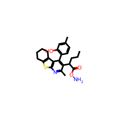 CCCC(C(=O)ON)c1c(C)nc2sc3c(c2c1-c1ccc(C)cc1O)CCCC3